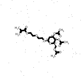 C=C(C)C(=O)OCCOCCO[C@H]1C[C@@H](OC(C)=O)[C@@H](OC(C)=O)[C@@H](COC(C)=O)O1